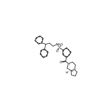 O=C(c1cccc(S(=O)(=O)NCCC(c2ccccc2)c2ccccc2)c1)N1CCN2CCC[C@H]2C1